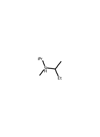 CCC(C)[SiH](C)C(C)C